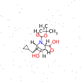 CC(C)(C)OC(=O)N1[C@H](C(=O)O)[C@@H]2CC[C@H]1/C(=C\C1CC1)[C@@H]2O